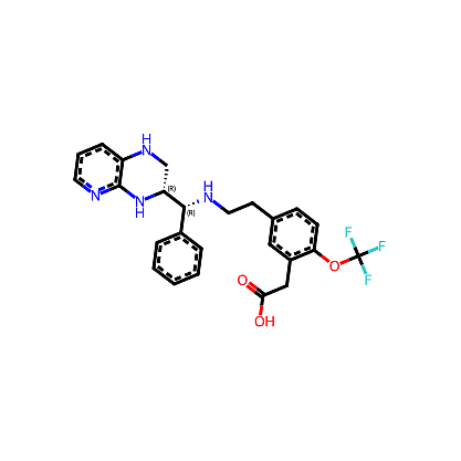 O=C(O)Cc1cc(CCN[C@H](c2ccccc2)[C@H]2CNc3cccnc3N2)ccc1OC(F)(F)F